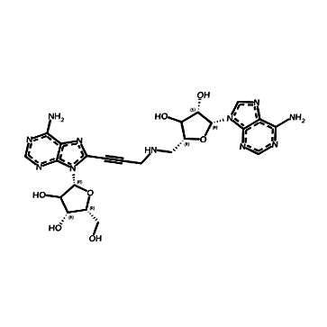 Nc1ncnc2c1ncn2[C@@H]1O[C@H](CNCC#Cc2nc3c(N)ncnc3n2[C@@H]2O[C@H](CO)[C@H](O)C2O)C(O)[C@@H]1O